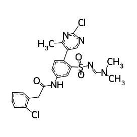 Cc1nc(Cl)ncc1-c1ccc(NC(=O)Cc2ccccc2Cl)cc1S(=O)(=O)N=CN(C)C